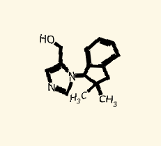 CC1(C)Cc2ccccc2C1n1cncc1CO